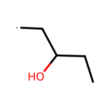 [CH2]CC(O)CC